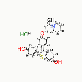 CC(CCOc1ccc(-c2c(-c3ccc(O)cc3)sc3cc(O)ccc23)cc1)N1CCCCC1.Cl